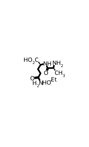 CCO.C[C@H](N)C(=O)N[C@@H](CCC(N)=O)C(=O)O